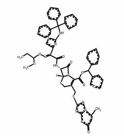 CCC(OC)ON=C(C(=O)N[C@@H]1C(=O)N2C(C(=O)OC(c3ccccc3)c3ccccc3)=C(CSc3nn4c(C)cc(=O)nc4s3)CS[C@H]12)c1csc(NC(c2ccccc2)(c2ccccc2)c2ccccc2)n1